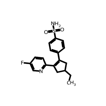 CCC1CC(c2ccc(S(N)(=O)=O)cc2)=C(c2ccc(F)cn2)C1